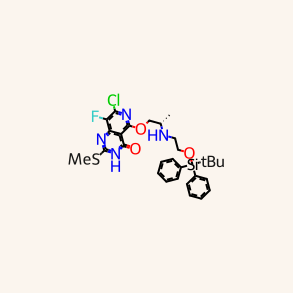 CSc1nc2c(F)c(Cl)nc(OC[C@H](C)NCCO[Si](c3ccccc3)(c3ccccc3)C(C)(C)C)c2c(=O)[nH]1